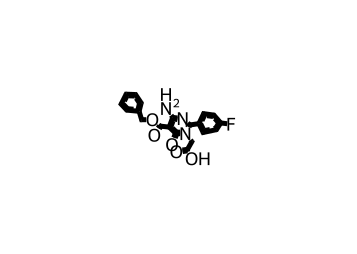 Nc1nc(-c2ccc(F)cc2)n(CC(=O)O)c(=O)c1C(=O)OCc1ccccc1